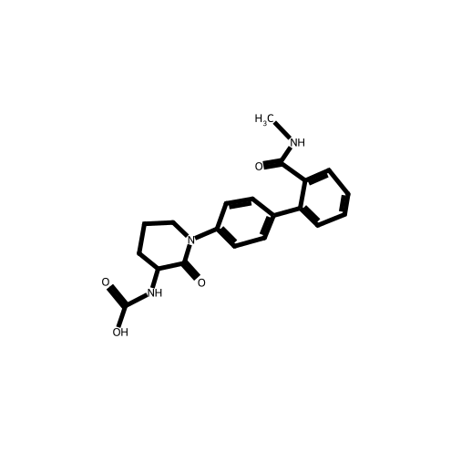 CNC(=O)c1ccccc1-c1ccc(N2CCCC(NC(=O)O)C2=O)cc1